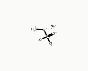 O=P([O-])(Cl)O[SiH3].[Na+]